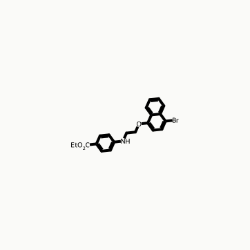 CCOC(=O)c1ccc(NCCOc2ccc(Br)c3ccccc23)cc1